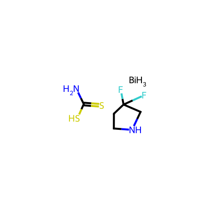 FC1(F)CCNC1.NC(=S)S.[BiH3]